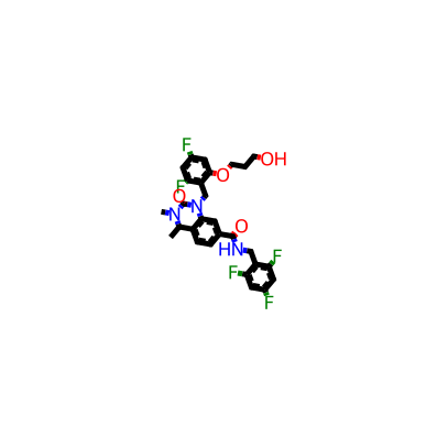 CC1c2ccc(C(=O)NCc3c(F)cc(F)cc3F)cc2N(Cc2c(F)cc(F)cc2OCCCO)C(=O)N1C